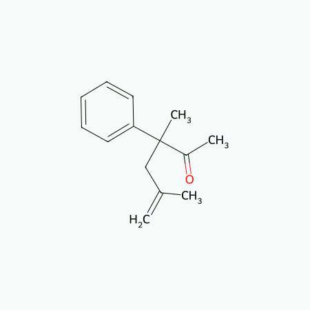 C=C(C)CC(C)(C(C)=O)c1ccccc1